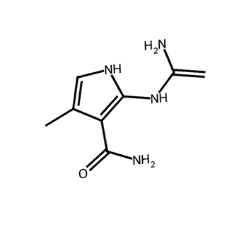 C=C(N)Nc1[nH]cc(C)c1C(N)=O